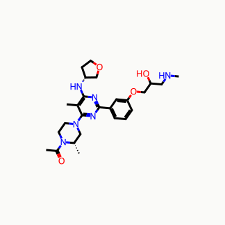 CNCC(O)COc1cccc(-c2nc(N[C@@H]3CCOC3)c(C)c(N3CCN(C(C)=O)[C@@H](C)C3)n2)c1